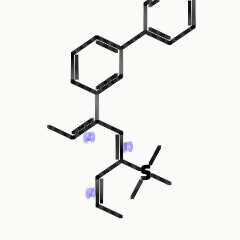 C\C=C/C(=C\C(=C\C)c1cccc(-c2ccccc2)c1)S(C)(C)C